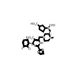 CCOC(=O)C1=C(CN2CCN(C)[C@H](CN(C=O)C3CCC(C(=O)O)C3)C2)NC(c2nccs2)=N[C@H]1c1cccc(F)c1Cl